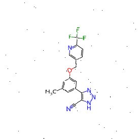 Cc1cc(OCc2ccc(C(F)(F)F)nc2)cc(-c2nn[nH]c2C#N)c1